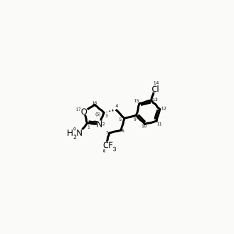 NC1=N[C@@H](CC(CCC(F)(F)F)c2cccc(Cl)c2)CO1